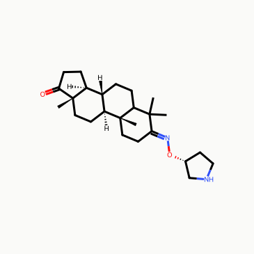 CC1(C)C(=NO[C@@H]2CCNC2)CC[C@@]2(C)C1CC[C@@H]1[C@@H]2CC[C@]2(C)C(=O)CC[C@@H]12